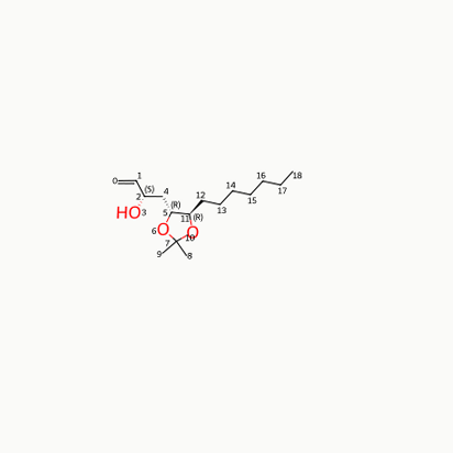 C=C[C@@H](O)C[C@H]1OC(C)(C)O[C@@H]1CCCCCCC